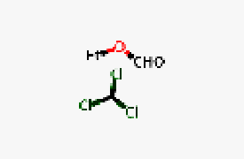 CCOC=O.ClC(Cl)Cl